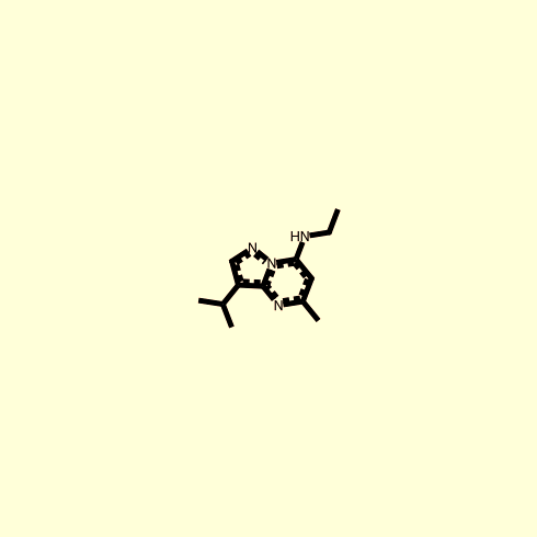 CCNc1cc(C)nc2c(C(C)C)cnn12